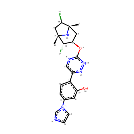 C[C@]12C[C@@H](Oc3ncc(-c4ccc(-n5ccnc5)cc4O)nn3)[C@H](F)[C@](C)(C[C@H]1F)N2